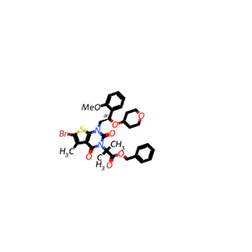 COc1ccccc1[C@H](Cn1c(=O)n(C(C)(C)C(=O)OCc2ccccc2)c(=O)c2c(C)c(Br)sc21)OC1CCOCC1